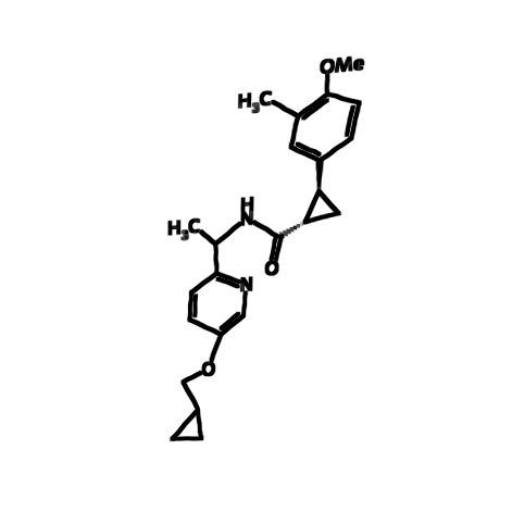 COc1ccc([C@H]2C[C@@H]2C(=O)NC(C)c2ccc(OCC3CC3)cn2)cc1C